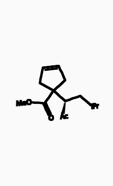 COC(=O)C1([C@H](CC(C)C)C(C)=O)CC=CC1